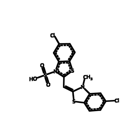 CN1C(=Cc2sc3ccc(Cl)cc3[n+]2S(=O)(=O)O)Sc2ccc(Cl)cc21